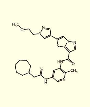 COCCn1cc(-c2cn3ncc(C(=O)Nc4cc(NC(=O)CN5CCCCCC5)cnc4C)c3s2)cn1